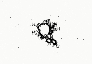 C[C@H]1/C=C/[C@H](O)[C@@H]2CC[C@H]2CN2C[C@@]3(CCCc4cc(Cl)ccc43)COc3ccc(cc32)[C@](O)(C(=O)O)CC(=O)N(C)C1